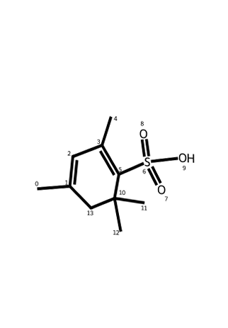 CC1=CC(C)=C(S(=O)(=O)O)C(C)(C)C1